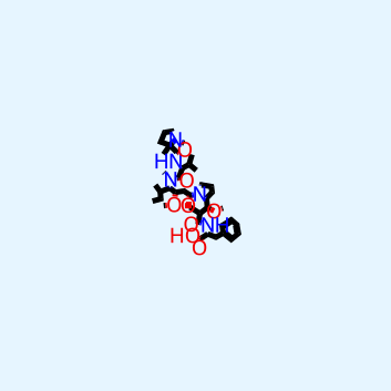 CCC(C)C(C(CC(=O)N1CCCC1C(OC)C(C)C(=O)NC(Cc1ccccc1)C(=O)O)OC)N(C)C(=O)C(NC(=O)C1(C)CCCN1C)C(C)C